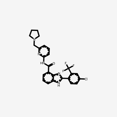 O=C(Nc1cccc(CN2CCCC2)n1)c1cccc2[nH]c(-c3ccc(Cl)cc3C(F)(F)F)nc12